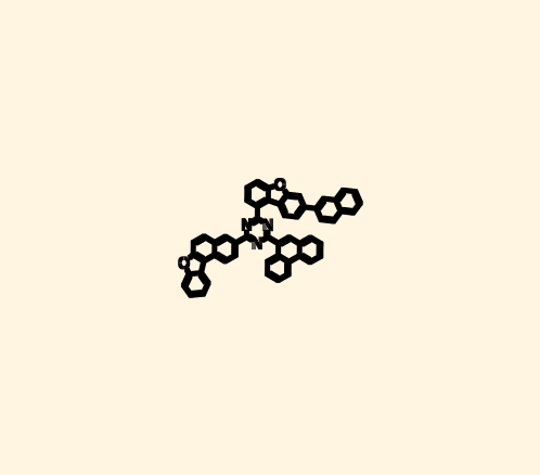 c1ccc2cc(-c3ccc4c(c3)oc3cccc(-c5nc(-c6ccc7c(ccc8oc9ccccc9c87)c6)nc(-c6cc7ccccc7c7ccccc67)n5)c34)ccc2c1